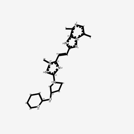 Cc1ncc(C)n2nc(/C=C/c3nc(N4CCC(OC5CCCCO5)C4)nn3C)nc12